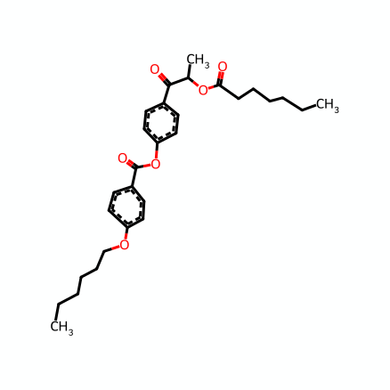 CCCCCCOc1ccc(C(=O)Oc2ccc(C(=O)C(C)OC(=O)CCCCCC)cc2)cc1